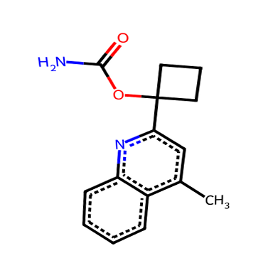 Cc1cc(C2(OC(N)=O)CCC2)nc2ccccc12